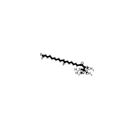 COC(C1OC1CCCCCCC(F)CCCCCCCCCC(F)F)C([SiH3])(OC)OC